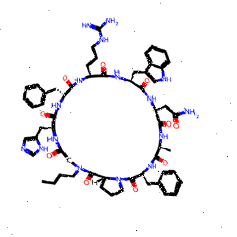 CCCCN1CC(=O)N[C@@H](Cc2cnc[nH]2)C(=O)N[C@H](Cc2ccccc2)C(=O)N[C@@H](CCCNC(=N)N)C(=O)N[C@@H](Cc2c[nH]c3ccccc23)C(=O)N[C@@H](CC(N)=O)C(=O)N[C@@H](C)C(=O)N[C@@H](Cc2ccccc2)C(=O)N2CCC[C@@H]2C1=O